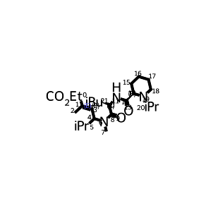 CCOC(=O)/C(C)=C/C(C(C)C)N(C)C(=O)[C@H](NC(=O)[C@H]1CCCCN1C(C)C)[C@H](C)CC